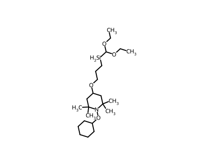 CCOC(OCC)[SiH2]CCCOC1CC(C)(C)N(OC2CCCCC2)C(C)(C)C1